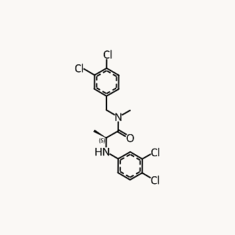 C[C@H](Nc1ccc(Cl)c(Cl)c1)C(=O)N(C)Cc1ccc(Cl)c(Cl)c1